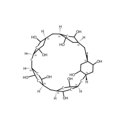 OC1C[C@@H]2C[C@H]3CC(O)[C@H](CC3O)C[C@H]3CC(O)[C@H](CC3O)C[C@H]3CC(O)[C@H](CC3O)C[C@H]3CC(O)[C@H](CC3O)C[C@H]1CC2O